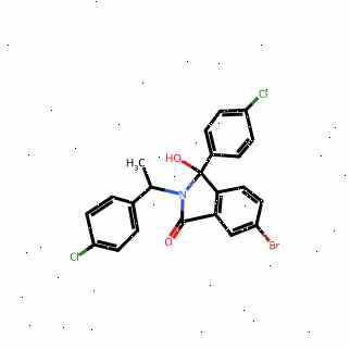 CC(c1ccc(Cl)cc1)N1C(=O)c2cc(Br)ccc2C1(O)c1ccc(Cl)cc1